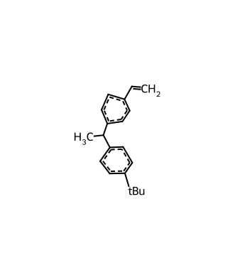 C=Cc1ccc(C(C)c2ccc(C(C)(C)C)cc2)cc1